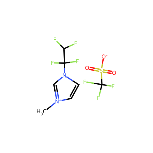 C[n+]1ccn(C(F)(F)C(F)F)c1.O=S(=O)([O-])C(F)(F)F